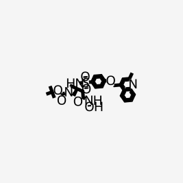 Cc1cc(COc2ccc(S(=O)(=O)NC3(CC(=O)NO)CN(C(=O)OC(C)(C)C)C3)cc2)c2ccccc2n1